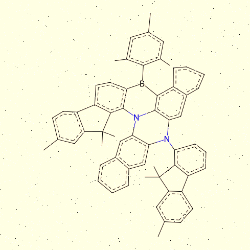 Cc1cc(C)c(B2c3ccc4c(c3N3c5cc6ccccc6cc5N(c5cccc6c5C(C)(C)c5cc(C)ccc5-6)c5cc6ccccc6c2c53)C(C)(C)c2cc(C)ccc2-4)c(C)c1